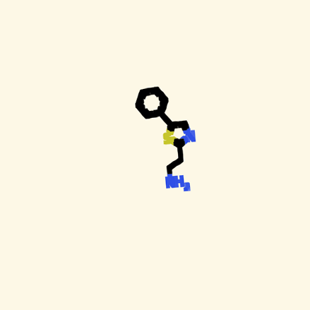 NCCc1ncc(-c2ccccc2)s1